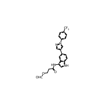 O=COCCC(=O)Nc1c[nH]c2ccc(-c3cnn(-c4ccc(C(F)(F)F)cc4)c3)cc12